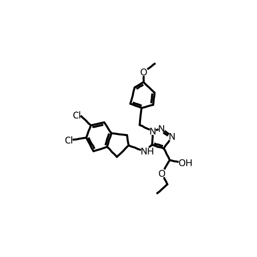 CCOC(O)c1nnn(Cc2ccc(OC)cc2)c1NC1Cc2cc(Cl)c(Cl)cc2C1